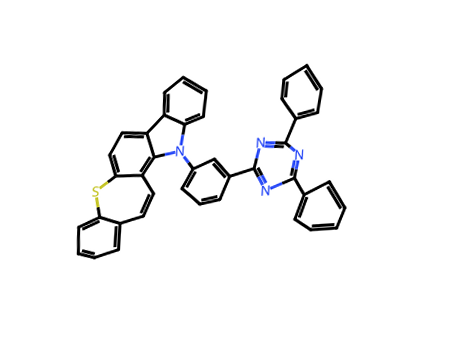 C1=Cc2c(ccc3c4ccccc4n(-c4cccc(-c5nc(-c6ccccc6)nc(-c6ccccc6)n5)c4)c23)Sc2ccccc21